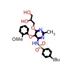 COc1ccccc1Oc1c(NS(=O)(=O)c2ccc(C(C)(C)C)cc2)nc(C)nc1OCC(O)CO